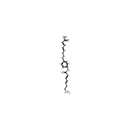 CCC/C=C/C=C/C(=O)Oc1ccc(CCC/C=C/C=C/C(=O)O)cc1